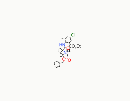 CCOC(=O)c1cc(Cl)cc(C)c1NC(=O)C1([N+](CC)(CC)CC(=O)OCc2ccccc2)CCC1